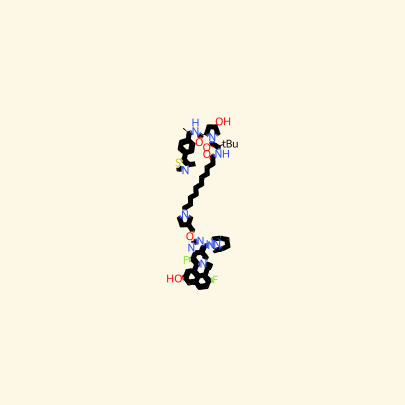 C#Cc1c(F)ccc2cc(O)cc(-c3ncc4c(N5CC6CCC(C5)N6)nc(OCC5CCN(CCCCCCCCCCC(=O)N[C@H](C(=O)N6C[C@H](O)C[C@H]6C(=O)N[C@@H](C)c6ccc(-c7scnc7C)cc6)C(C)(C)C)C5)nc4c3F)c12